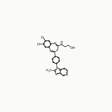 Cc1nc2cnccc2n1-c1ccc(C2=Nc3cc(Cl)c(Cl)cc3N=C(NCCO)C2)cc1